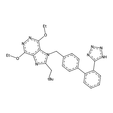 CCOc1nnc(OCC)c2c1nc(CC(C)(C)C)n2Cc1ccc(-c2ccccc2-c2nnn[nH]2)cc1